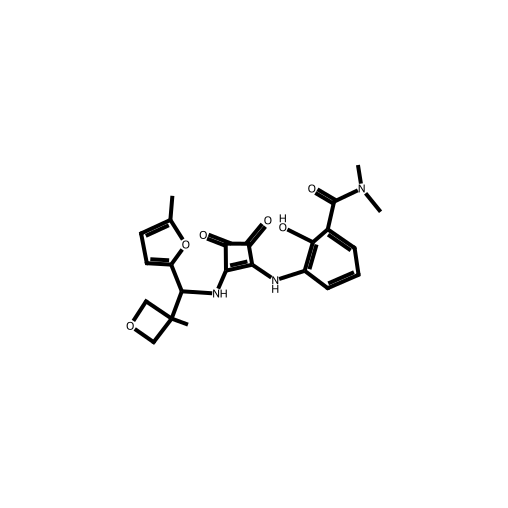 Cc1ccc(C(Nc2c(Nc3cccc(C(=O)N(C)C)c3O)c(=O)c2=O)C2(C)COC2)o1